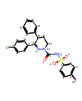 O=C(NS(=O)(=O)c1ccc(I)cc1)N1CCC(c2ccccc2)C(c2ccc(Cl)cc2)=N1